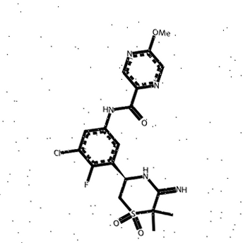 COc1cnc(C(=O)Nc2cc(Cl)c(F)c([C@@H]3CS(=O)(=O)C(C)(C)C(=N)N3)c2)cn1